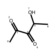 CC(=O)C(=O)C(C)O